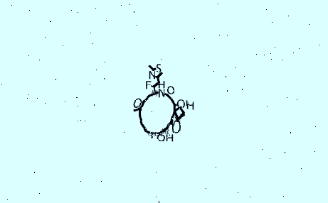 Cc1nc(C=C(F)[C@@H]2CC3OC3(C)CCC[C@H](C)[C@H](O)[C@@H](C)C(=O)C3(CCC3)C(O)CC(=O)N2)cs1